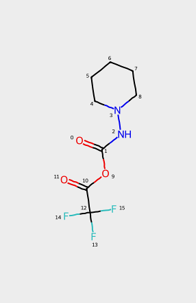 O=C(NN1CCCCC1)OC(=O)C(F)(F)F